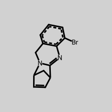 Brc1cccc2c1N=C1C3C=CC(C3)N1C2